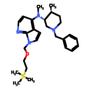 C[C@@H]1CCN(Cc2ccccc2)C[C@@H]1N(C)c1ccnc2c1ccn2COCCS(C)(C)C